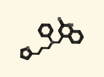 O=c1cc(CN(CCCc2ccco2)c2ccccc2)c2ccccc2[nH]1